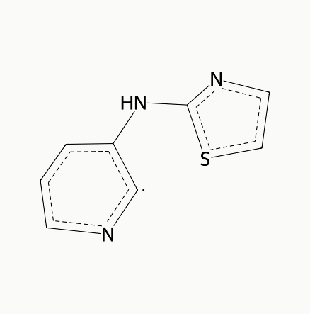 [c]1ncccc1Nc1nccs1